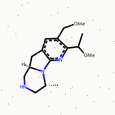 COCc1cc2c(nc1C(C)OC)N1[C@@H](CNC[C@H]1C)C2